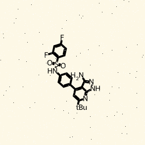 CC(C)(C)c1cc(-c2ccc(NS(=O)(=O)c3ccc(F)cc3F)cc2)c2c(N)n[nH]c2n1